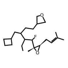 CCC(C(CCC1COC1)CC1CCC1)C(F)[C@@]1(C)O[C@@H]1CC=C(C)C